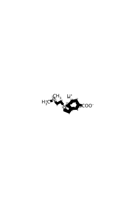 CN(C)CCn1ccc2cc(C(=O)[O-])ccc21.[Li+]